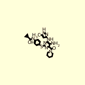 Cc1cc(Nc2nc(Sc3ccc(NC(=O)C4CC4)cc3)nc(C(=O)N3CCCCC3)c2N)n[nH]1